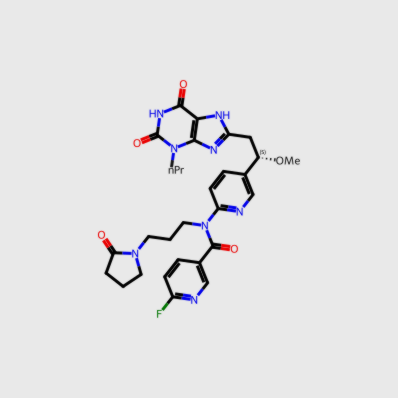 CCCn1c(=O)[nH]c(=O)c2[nH]c(C[C@H](OC)c3ccc(N(CCCN4CCCC4=O)C(=O)c4ccc(F)nc4)nc3)nc21